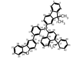 CC1(C)c2ccccc2-c2ccc(N(c3cccc(-c4ccc5oc6ccccc6c5c4)c3)c3ccc([C@]4(C)C=CC=CC4)c4ccccc34)cc21